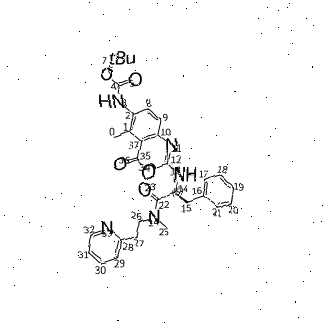 Cc1c(NC(=O)OC(C)(C)C)ccc2nc(N[C@@H](Cc3ccccc3)C(=O)N(C)CCc3ccccn3)oc(=O)c12